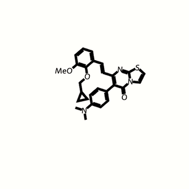 COc1cccc(C=Cc2nc3sccn3c(=O)c2-c2ccc(N(C)C)cc2)c1OCC1CC1